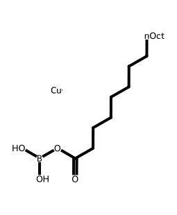 CCCCCCCCCCCCCCCC(=O)OB(O)O.[Cu]